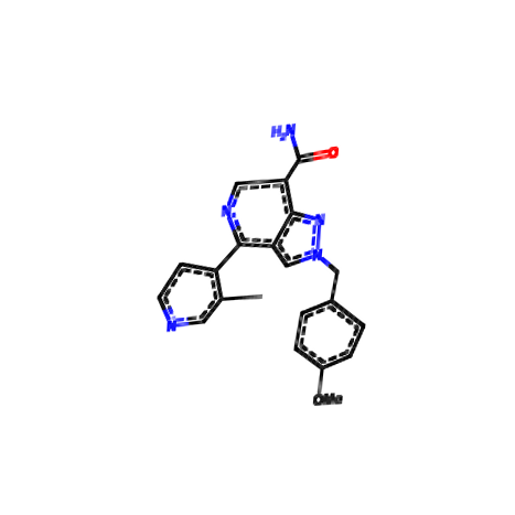 COc1ccc(Cn2cc3c(-c4ccncc4C)ncc(C(N)=O)c3n2)cc1